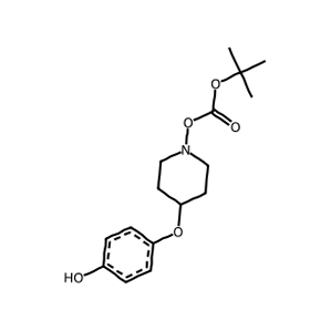 CC(C)(C)OC(=O)ON1CCC(Oc2ccc(O)cc2)CC1